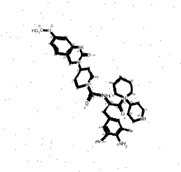 Nc1c(Br)cc(C[C@@H](NC(=O)N2CCC(N3Cc4ccc(OC(=O)O)cc4NC3=O)CC2)C(=O)[N+]2(C3CCNCC3)CCCCC2)cc1Br